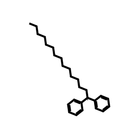 CCCCCCCCCCCCCC[C](c1ccccc1)c1ccccc1